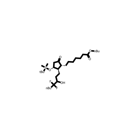 CCCCOC(=O)CCCCCC[C@H]1C(=O)C[C@@H](O[Si](C)(C)C(C)(C)C)[C@@H]1CCC(O)C(F)(F)CCCC